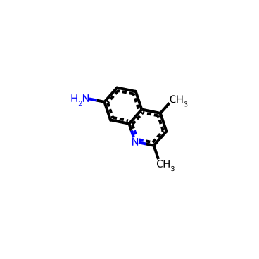 Cc1cc(C)c2ccc(N)cc2n1